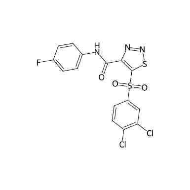 O=C(Nc1ccc(F)cc1)c1nnsc1S(=O)(=O)c1ccc(Cl)c(Cl)c1